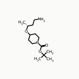 C[C@H](CCN)OC1CCN(C(=O)OC(C)(C)C)CC1